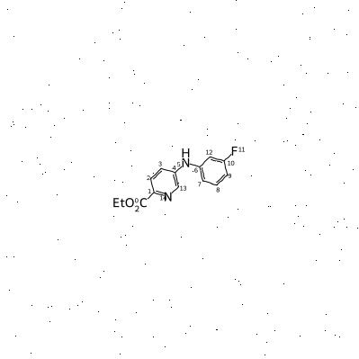 CCOC(=O)c1ccc(Nc2cccc(F)c2)cn1